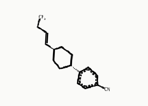 N#Cc1ccc([C@H]2CC[C@H](/C=C/CC(F)(F)F)CC2)cc1